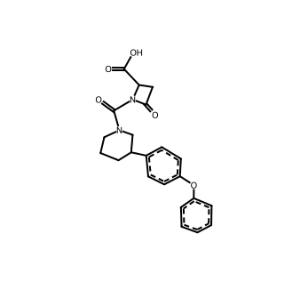 O=C(O)C1CC(=O)N1C(=O)N1CCCC(c2ccc(Oc3ccccc3)cc2)C1